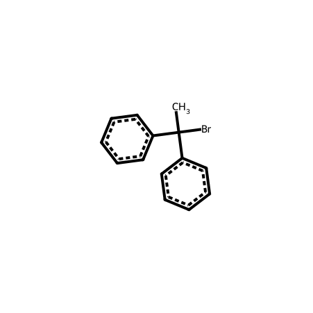 CC(Br)(c1ccccc1)c1ccccc1